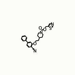 N#Cc1ccc(-c2ccccc2)cc1OCCC1CCN(C(=O)OCc2cncs2)CC1